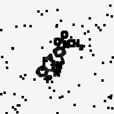 Cn1c(=O)oc2ccc(Cn3cnc(-c4c(F)cccc4F)c3C3CC3)cc21